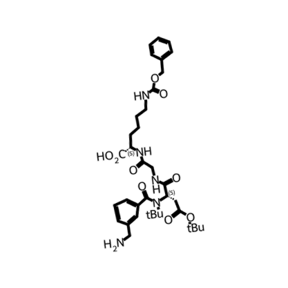 CC(C)(C)OC(=O)C[C@@H](C(=O)NCC(=O)N[C@@H](CCCCNC(=O)OCc1ccccc1)C(=O)O)N(C(=O)c1cccc(CN)c1)C(C)(C)C